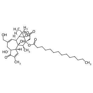 CCCCCCCCCCCCCC(=O)O[C@]1(CC(=O)O)[C@@H](C)[C@@]2(O)[C@@H](C=C(CO)C[C@]3(O)C(=O)C(C)=C[C@@H]23)[C@H]2C(C)(C)[C@@]21O